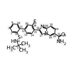 CC(C)(C)NSc1ccccc1-c1ccc(-c2cn3cc(C(N)=O)ccc3n2)c(F)c1